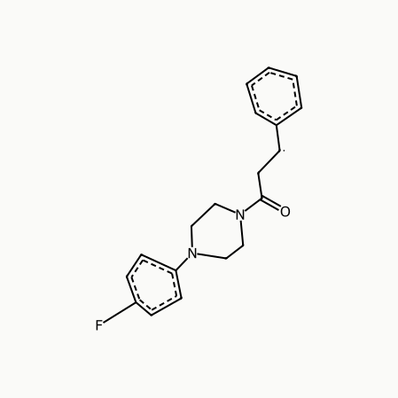 O=C(C[CH]c1ccccc1)N1CCN(c2ccc(F)cc2)CC1